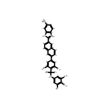 Fc1cc(OC(F)(F)c2c(F)cc(-c3ccc4cc(-c5nc6ccc(S)cc6s5)ccc4c3)cc2F)cc(F)c1F